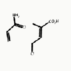 C=CC(N)=O.CC(=CCCl)C(=O)O